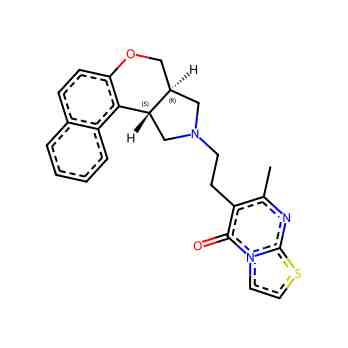 Cc1nc2sccn2c(=O)c1CCN1C[C@@H]2COc3ccc4ccccc4c3[C@H]2C1